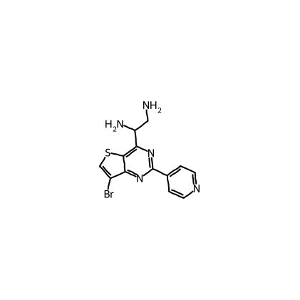 NCC(N)c1nc(-c2ccncc2)nc2c(Br)csc12